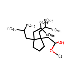 CCCCCCCCCCC(CCCCCCCC)CC1(CC(CCCCCCCC)CCCCCCCCCC)CCCC1(CC(CCCCCCCC)CCCCCCCCCC)CC(O)OCC